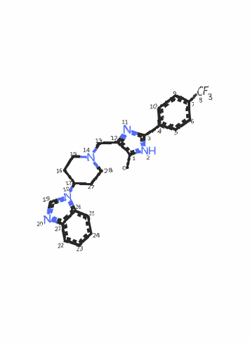 Cc1[nH]c(-c2ccc(C(F)(F)F)cc2)nc1CN1CCC(n2cnc3ccccc32)CC1